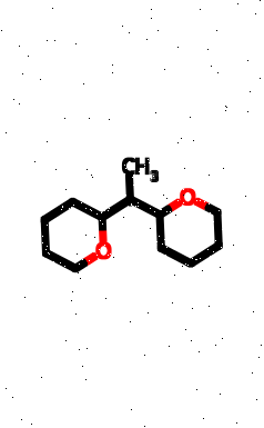 C[C](C1CCCCO1)C1CCCCO1